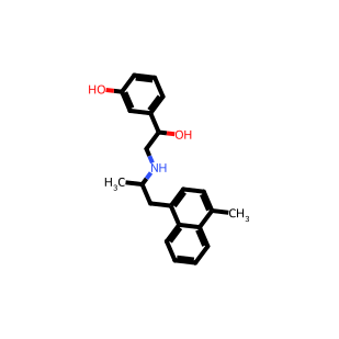 Cc1ccc(CC(C)NCC(O)c2cccc(O)c2)c2ccccc12